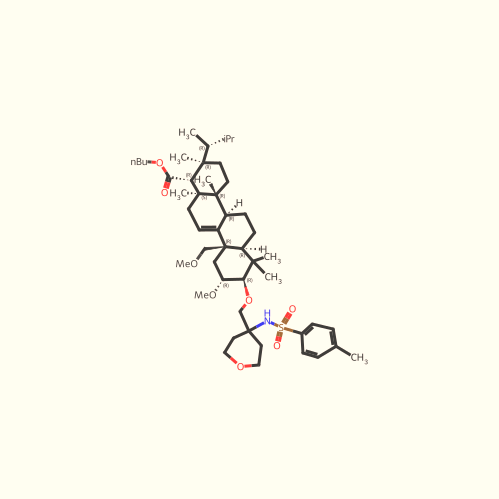 CCCCOC(=O)[C@@H]1[C@@](C)([C@H](C)C(C)C)CC[C@]2(C)[C@H]3CC[C@H]4C(C)(C)[C@@H](OCC5(NS(=O)(=O)c6ccc(C)cc6)CCOCC5)[C@H](OC)C[C@]4(COC)C3=CC[C@@]12C